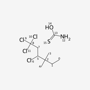 CCC(C)(C)C(Cl)CC(Cl)(Cl)Cl.NC(O)=S